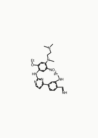 CCOc1cc(N(C)CCN(C)C)c([N+](=O)[O-])cc1Nc1nccc(-c2ccc(C=N)c(NC(C)C)c2)n1